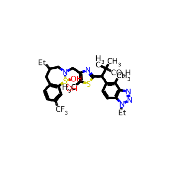 CCC1Cc2ccc(C(F)(F)F)cc2S(O)(O)N(Cc2nc(C(c3ccc4c(nnn4CC)c3C)C(C)(C)C(=O)O)sc2C)C1